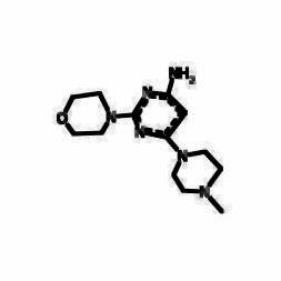 CN1CCN(c2cc(N)nc(N3CCOCC3)n2)CC1